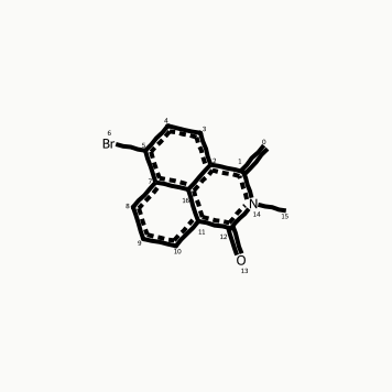 C=c1c2ccc(Br)c3cccc(c(=O)n1C)c32